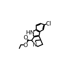 CCOC(=O)C1c2[nH]c3ccc(Cl)cc3c2C2CCN1C2